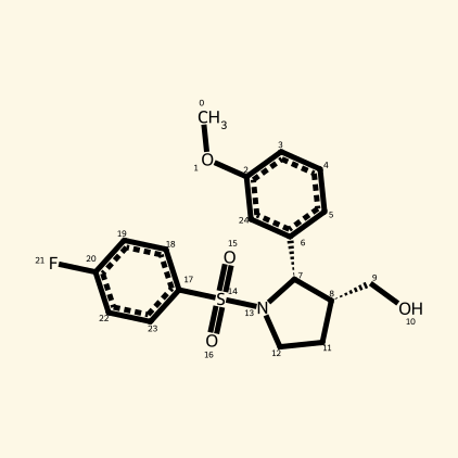 COc1cccc([C@@H]2[C@H](CO)CCN2S(=O)(=O)c2ccc(F)cc2)c1